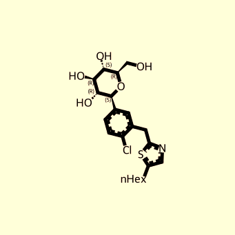 CCCCCCc1cnc(Cc2cc([C@@H]3O[C@H](CO)[C@@H](O)[C@H](O)[C@H]3O)ccc2Cl)s1